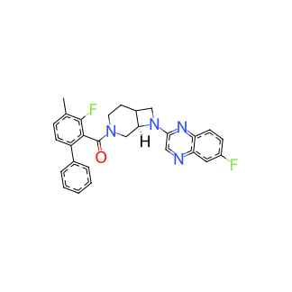 Cc1ccc(-c2ccccc2)c(C(=O)N2CCC3CN(c4cnc5cc(F)ccc5n4)[C@H]3C2)c1F